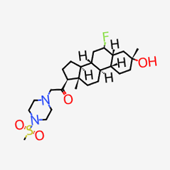 C[C@@]1(O)CC[C@@H]2[C@H]3CC[C@]4(C)[C@@H](C(=O)CN5CCN(S(C)(=O)=O)CC5)CC[C@H]4[C@@H]3C[C@@H](F)[C@@H]2C1